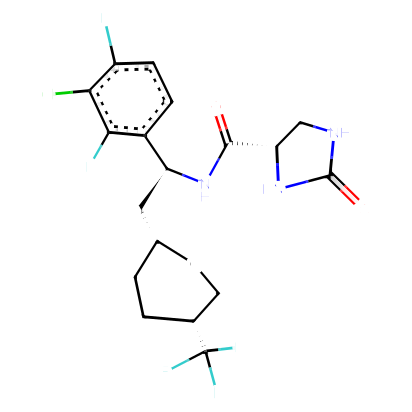 O=C1NC[C@@H](C(=O)N[C@@H](C[C@H]2CC[C@@H](C(F)(F)F)CC2)c2ccc(F)c(Cl)c2F)N1